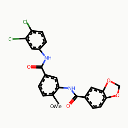 COc1ccc(C(=O)Nc2ccc(Cl)c(Cl)c2)cc1NC(=O)c1ccc2c(c1)OCO2